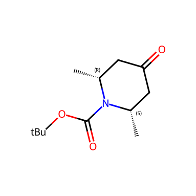 C[C@@H]1CC(=O)C[C@H](C)N1C(=O)OC(C)(C)C